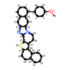 COc1ccc(-c2cccc3cc4nc5c6sc7ccc8ccccc8c7c6ccn5c4cc23)cc1